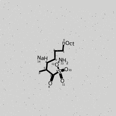 CCCCCCCCCCCCC(C)C(=O)S(=O)(=O)ON.[NaH]